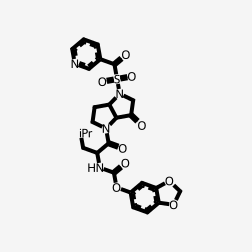 CC(C)CC(NC(=O)Oc1ccc2c(c1)OCO2)C(=O)N1CCC2C1C(=O)CN2S(=O)(=O)C(=O)c1cccnc1